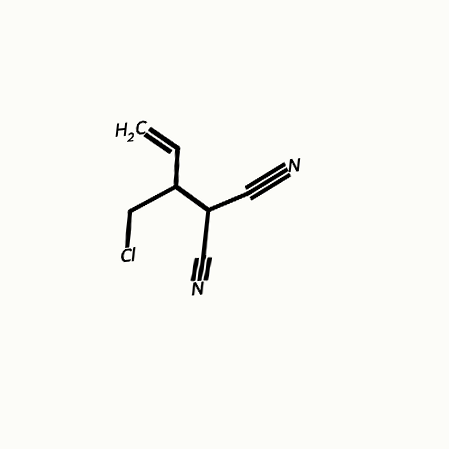 C=CC(CCl)C(C#N)C#N